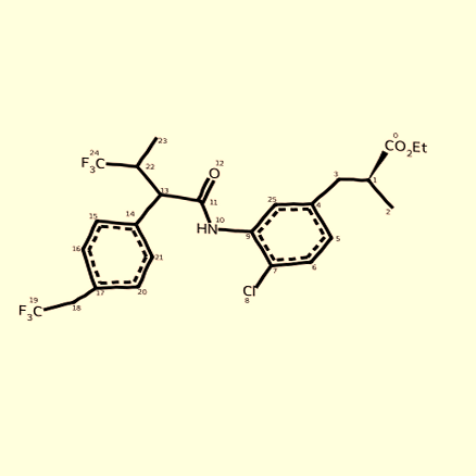 CCOC(=O)[C@@H](C)Cc1ccc(Cl)c(NC(=O)C(c2ccc(CC(F)(F)F)cc2)C(C)C(F)(F)F)c1